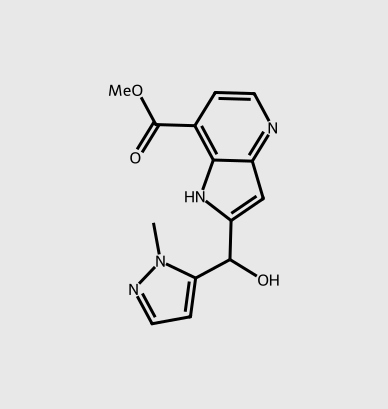 COC(=O)c1ccnc2cc(C(O)c3ccnn3C)[nH]c12